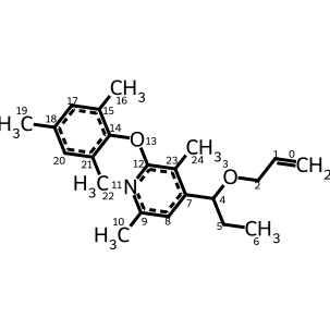 C=CCOC(CC)c1cc(C)nc(Oc2c(C)cc(C)cc2C)c1C